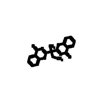 CCC(C)(c1nc(=O)c2ccccc2o1)c1nc(=O)c2ccccc2o1